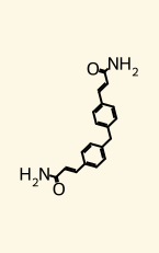 NC(=O)C=Cc1ccc(Cc2ccc(C=CC(N)=O)cc2)cc1